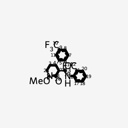 CON1CC[C@H](c2cccc(C(F)(F)F)c2)[C@@H](C(=O)Nc2ccccc2C(F)(F)F)C1=O